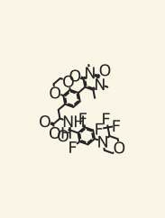 Cc1c(-c2ccc(CC(NC(=O)c3c(F)cc(N4CCOCC4C(F)(F)F)cc3F)C(=O)O)c3c2OCCO3)c(=O)n(C)c(=O)n1C